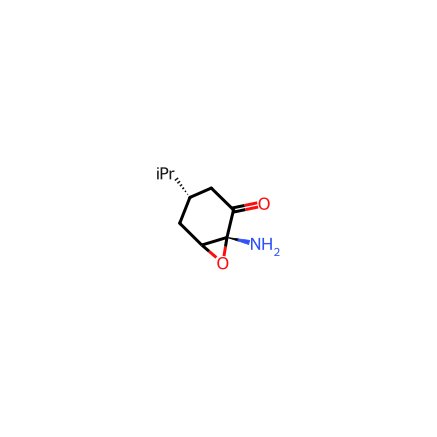 CC(C)[C@@H]1CC(=O)[C@]2(N)OC2C1